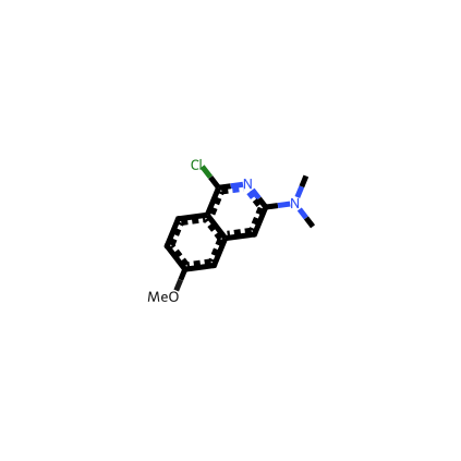 COc1ccc2c(Cl)nc(N(C)C)cc2c1